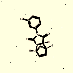 O=C1[C@@H]2[C@@H]3C=C[C@@H](C3)N2C(=O)N1c1cccc(Cl)c1